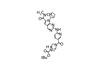 CN(C)C(=O)c1cc2cnc(Nc3ccc(C(=O)N4C[C@H]5CC4CN5C(=O)OC(C)(C)C)cn3)nc2n1C1CCCC1